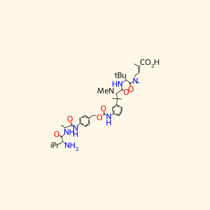 CN[C@H](C(=O)N[C@H](C(=O)N(C)C/C=C(\C)C(=O)O)C(C)(C)C)C(C)(C)c1cccc(NC(=O)OCc2ccc(NC(=O)[C@H](C)NC(=O)[C@@H](N)C(C)C)cc2)c1